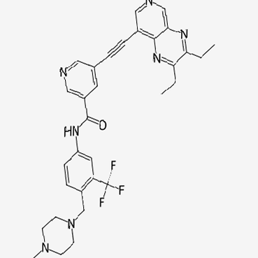 CCc1nc2cncc(C#Cc3cncc(C(=O)Nc4ccc(CN5CCN(C)CC5)c(C(F)(F)F)c4)c3)c2nc1CC